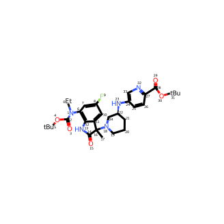 CCN(C(=O)OC(C)(C)C)c1cc(F)cc2c1NC(=O)C2(C)N1CCC[C@H](Nc2ccc(C(=O)OC(C)(C)C)nc2)C1